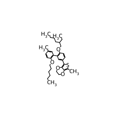 CCCCCCOc1ccc(C)cc1-c1cc(-c2sc(C)c3c2OCCO3)ccc1OCC(CC)CCCC